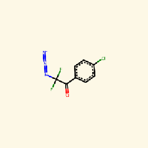 [N-]=[N+]=NC(F)(F)C(=O)c1ccc(Cl)cc1